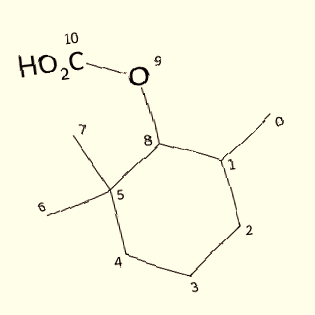 CC1CCCC(C)(C)C1OC(=O)O